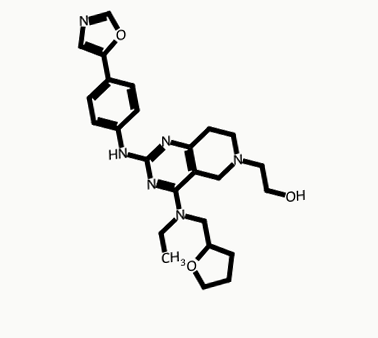 CCN(CC1CCCO1)c1nc(Nc2ccc(-c3cnco3)cc2)nc2c1CN(CCO)CC2